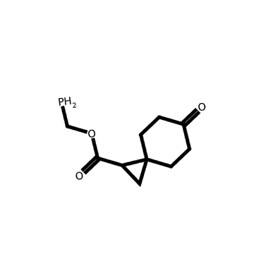 O=C1CCC2(CC1)CC2C(=O)OCP